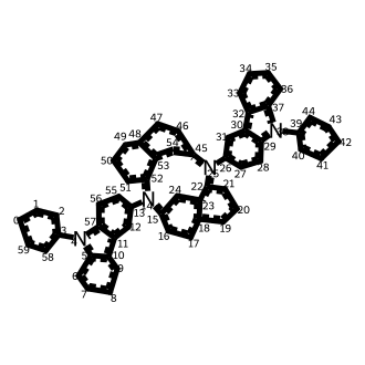 c1ccc(-n2c3ccccc3c3cc(-n4c5ccc6cccc(c6c5)n(-c5ccc6c(c5)c5ccccc5n6-c5ccccc5)c5ccc6cccc4c6c5)ccc32)cc1